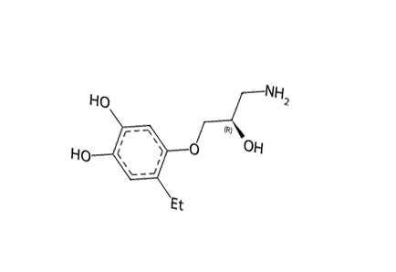 CCc1cc(O)c(O)cc1OC[C@H](O)CN